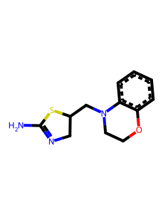 NC1=NCC(CN2CCOc3ccccc32)S1